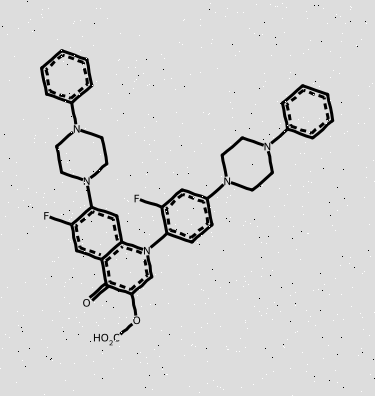 O=C(O)Oc1cn(-c2ccc(N3CCN(c4ccccc4)CC3)cc2F)c2cc(N3CCN(c4ccccc4)CC3)c(F)cc2c1=O